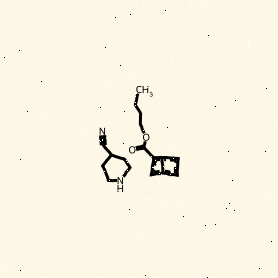 CCCCOC(=O)c1cc2ccc1-2.N#CC1CCNCC1